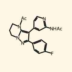 CC(=O)Nc1cc(-c2c(-c3ccc(F)cc3)nn3c2N(C(C)=O)CCC3)ccn1